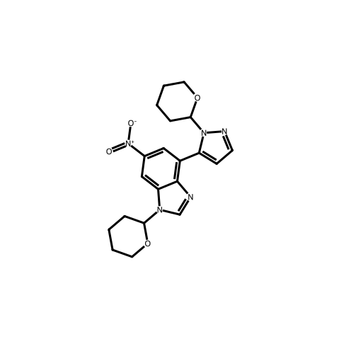 O=[N+]([O-])c1cc(-c2ccnn2C2CCCCO2)c2ncn(C3CCCCO3)c2c1